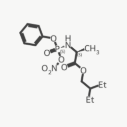 CCC(CC)COC(=O)[C@H](C)N[P@](=O)(Oc1ccccc1)O[N+](=O)[O-]